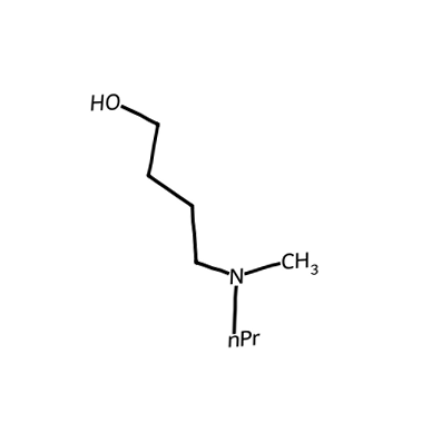 CCCN(C)CCCCO